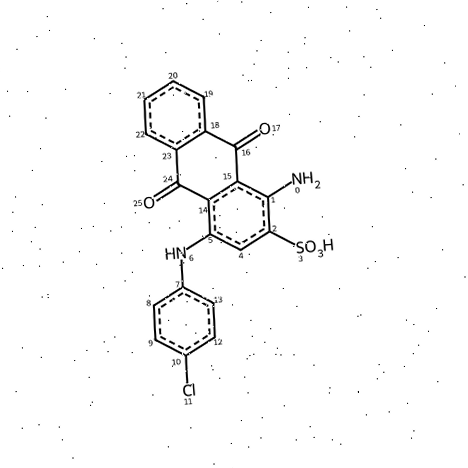 Nc1c(S(=O)(=O)O)cc(Nc2ccc(Cl)cc2)c2c1C(=O)c1ccccc1C2=O